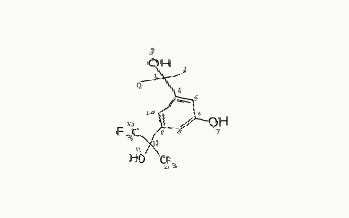 CC(C)(O)c1cc(O)cc(C(O)(C(F)(F)F)C(F)(F)F)c1